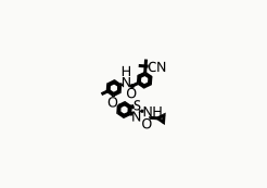 Cc1ccc(NC(=O)c2cccc(C(C)(C)C#N)c2)cc1Oc1ccc2nc(NC(=O)C3CC3)sc2c1